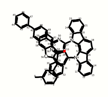 Cc1cccc(-c2cc(-n3c4ccccc4c4ccc5c6ccccc6n(-c6nc(-c7ccccc7)nc(-c7ccc(-c8ccccc8)cc7)n6)c5c43)cc3c2oc2ccccc23)c1